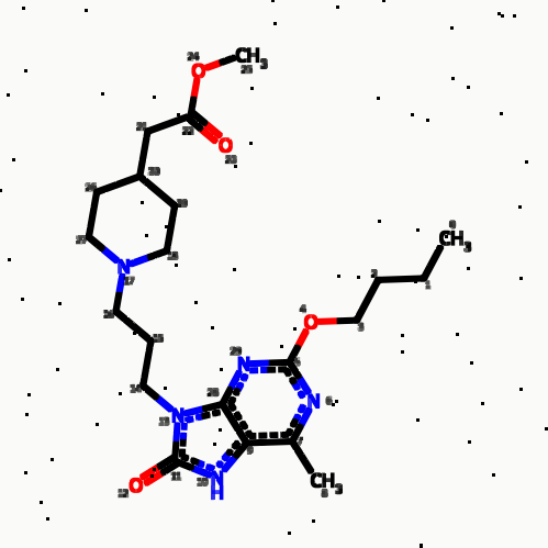 CCCCOc1nc(C)c2[nH]c(=O)n(CCCN3CCC(CC(=O)OC)CC3)c2n1